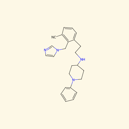 N#Cc1cccc(CCNC2CCN(c3ccccc3)CC2)c1Cn1ccnc1